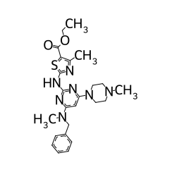 CCOC(=O)c1sc(Nc2nc(N(C)Cc3ccccc3)cc(N3CCN(C)CC3)n2)nc1C